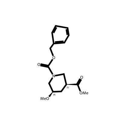 COC(=O)[C@H]1C[C@@H](OC)CN(C(=O)OCc2ccccc2)C1